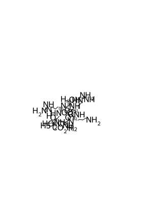 C[C@@H](O)[C@H](NC(=O)[C@H](CCCNC(=N)N)NC(=O)[C@H](CCCCN)NC(=O)[C@@H](N)CC(=O)O)C(=O)N[C@@H](CCCNC(=N)N)C(=O)NCC(=O)N[C@@H](CS)C(=O)O